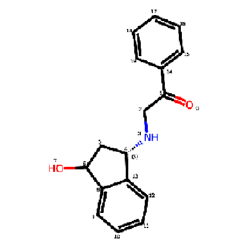 O=C(CN[C@H]1CC(O)c2ccccc21)c1ccccc1